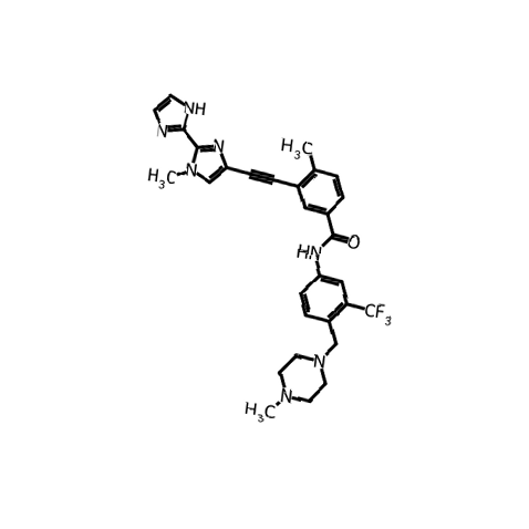 Cc1ccc(C(=O)Nc2ccc(CN3CCN(C)CC3)c(C(F)(F)F)c2)cc1C#Cc1cn(C)c(-c2ncc[nH]2)n1